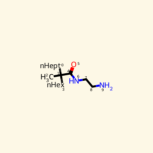 CCCCCCCC(C)(CCCCCC)C(=O)NCCN